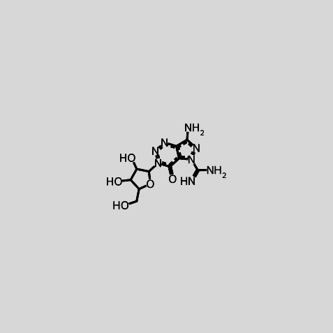 N=C(N)n1nc(N)c2nnn(C3OC(CO)C(O)C3O)c(=O)c21